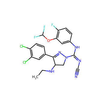 CCNC1CN(/C(=N\C#N)Nc2ccc(F)c(OC(F)F)c2)N=C1c1ccc(Cl)c(Cl)c1